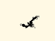 N#Cc1c(N)nc(SCc2csc(-c3ccc(Cl)cc3)n2)c(C#N)c1-c1ccc(CCCOC(=O)CCC(=O)O)cc1